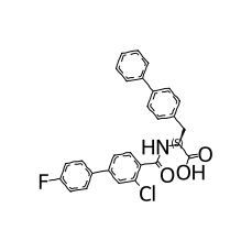 O=C(N[C@@H](Cc1ccc(-c2ccccc2)cc1)C(=O)O)c1ccc(-c2ccc(F)cc2)cc1Cl